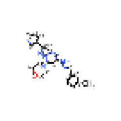 Cc1cccc(C=NNc2cc(N3CCOCC3)n3nc(-c4cccnc4)cc3n2)c1